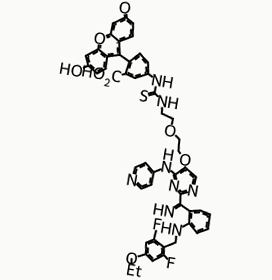 CCOc1cc(F)c(CNc2ccccc2C(=N)c2ncc(OCCOCCNC(=S)Nc3ccc(-c4c5ccc(=O)cc-5oc5cc(O)ccc45)c(C(=O)O)c3)c(Nc3ccncc3)n2)c(F)c1